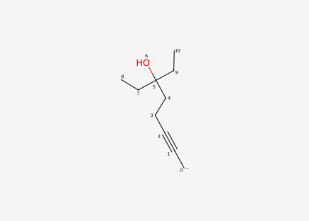 [CH2]C#CCCC(O)(CC)CC